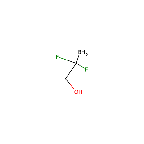 BC(F)(F)CO